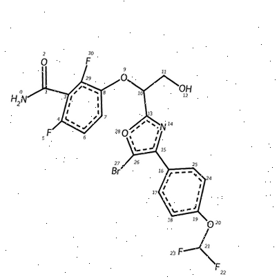 NC(=O)c1c(F)ccc(OC(CO)c2nc(-c3ccc(OC(F)F)cc3)c(Br)o2)c1F